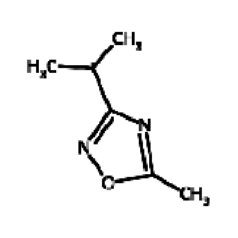 C[C](C)c1noc(C)n1